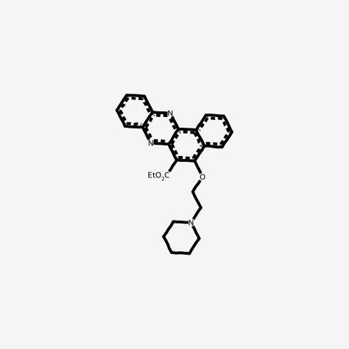 CCOC(=O)c1c(OCCN2CCCCC2)c2ccccc2c2nc3ccccc3nc12